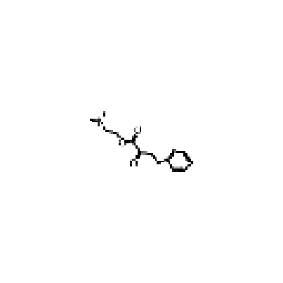 CN(C)CCOC(=O)C(=O)CCc1ccccc1